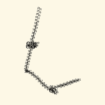 CCCCCCCCCCCCCCCCCCCCCCCCC(C(=O)O)[C@@H](CCCCCCCCCCCCCCC[C@@H]1C[C@@H]1CCCCCCCCCCCCCCCCCC[C@H](O[C@@H]1CCCCO1)[C@@H](C)CCCCCCCCCCCCCCCCCC)O[Si](C)(C)C(C)(C)C